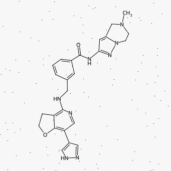 CN1CCn2nc(NC(=O)c3cccc(CNc4ncc(-c5cn[nH]c5)c5c4CCO5)c3)cc2C1